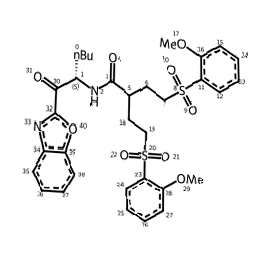 CCCC[C@H](NC(=O)C(CCS(=O)(=O)c1ccccc1OC)CCS(=O)(=O)c1ccccc1OC)C(=O)c1nc2ccccc2o1